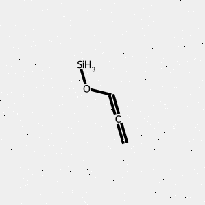 C=C=CO[SiH3]